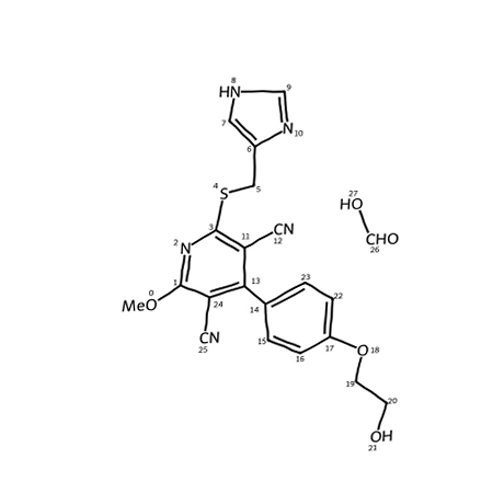 COc1nc(SCc2c[nH]cn2)c(C#N)c(-c2ccc(OCCO)cc2)c1C#N.O=CO